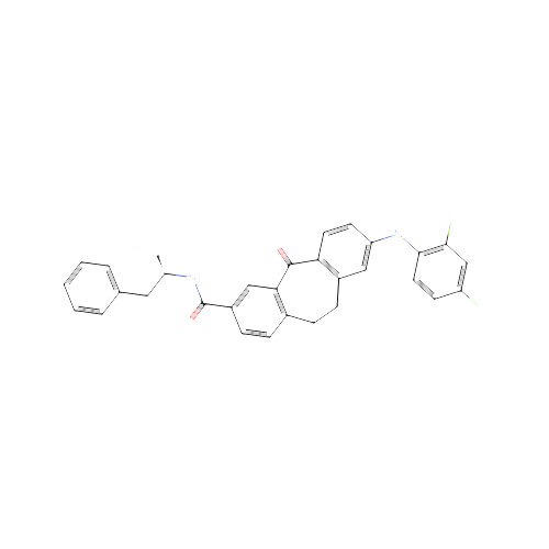 O=C(N[C@@H](Cc1ccccc1)C(=O)O)c1ccc2c(c1)C(=O)c1ccc(Nc3ccc(F)cc3F)cc1CC2